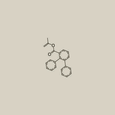 C=C(C)OC(=O)c1cccc(-c2ccccc2)c1-c1ccccc1